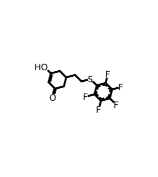 O=C1C=C(O)CC(CCSc2c(F)c(F)c(F)c(F)c2F)C1